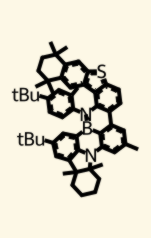 Cc1cc2c3c(c1)N1c4c(cc(C(C)(C)C)cc4C4(C)CCCCC14C)B3N(c1ccc(C(C)(C)C)cc1C)c1c-2ccc2sc3cc4c(cc3c12)C(C)(C)CCC4(C)C